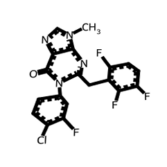 Cn1cnc2c(=O)n(-c3ccc(Cl)c(F)c3)c(Cc3c(F)ccc(F)c3F)nc21